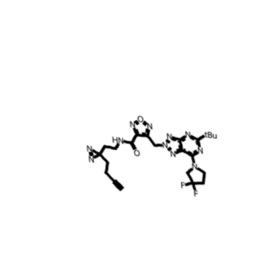 C#CCCC1(CCNC(=O)c2nonc2Cn2nc3nc(C(C)(C)C)nc(N4CCC(F)(F)C4)c3n2)N=N1